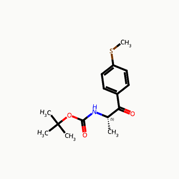 CSc1ccc(C(=O)[C@H](C)NC(=O)OC(C)(C)C)cc1